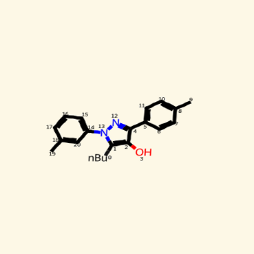 CCCCc1c(O)c(-c2ccc(C)cc2)nn1-c1cccc(C)c1